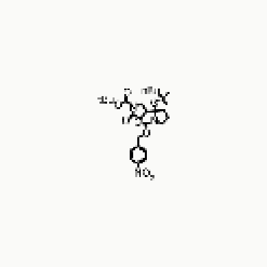 CCCC[Si](C)(C)OC1(C2CC(=O)N(C(=O)OC(C)(C)C)C2)CCCN1C(=O)OCc1ccc([N+](=O)[O-])cc1